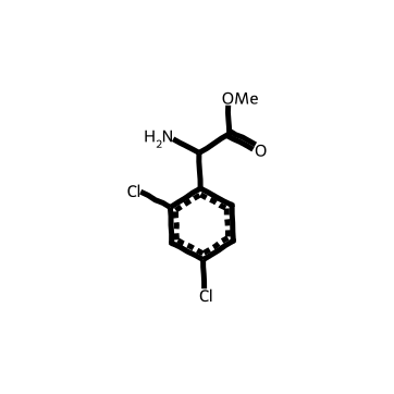 COC(=O)C(N)c1ccc(Cl)cc1Cl